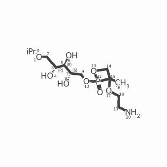 CC(C)OC[C@@H](O)[C@@H](O)[C@@H](O)COP1(=O)OCC1(C)OCCN